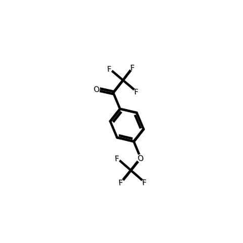 O=C(c1ccc(OC(F)(F)F)cc1)C(F)(F)F